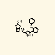 N#CN1CC2CC[C@]2(NCc2cc(-c3ccncc3Oc3ccccc3)[nH]n2)C1